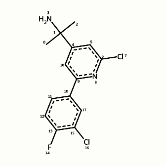 CC(C)(N)c1cc(Cl)nc(-c2ccc(F)c(Cl)c2)c1